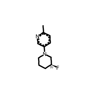 Cc1ccc(N2CCC[C@H](F)C2)cn1